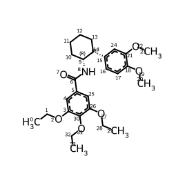 CCOc1cc(C(=O)N[C@@H]2CCCC[C@@H]2c2ccc(OC)c(OC)c2)cc(OCC)c1OCC